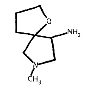 CN1CC(N)C2(CCCO2)C1